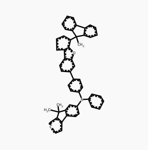 CC1(C)c2ccccc2-c2ccc(N(c3ccccc3)c3ccc(-c4ccc5c(c4)oc4c(C6(C)c7ccccc7-c7ccccc76)cccc45)cc3)cc21